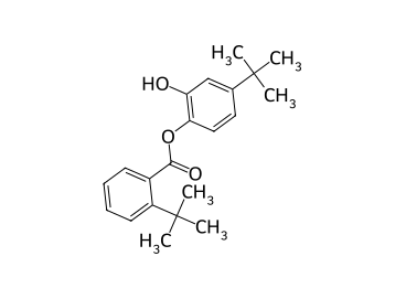 CC(C)(C)c1ccc(OC(=O)c2ccccc2C(C)(C)C)c(O)c1